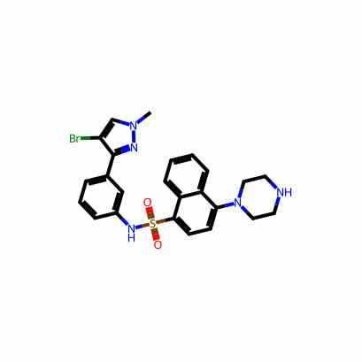 Cn1cc(Br)c(-c2cccc(NS(=O)(=O)c3ccc(N4CCNCC4)c4ccccc34)c2)n1